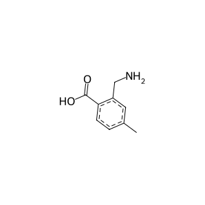 Cc1ccc(C(=O)O)c(CN)c1